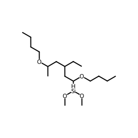 CCCCOC(C)CC(CC)CC(OCCCC)[SiH](OC)OC